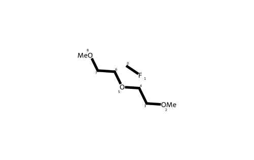 CF.COCCOCCOC